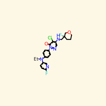 CCN(c1ccc(-n2ncc(NC[C@@]3(F)CCCOC3)c(Cl)c2=O)cc1)c1ccc(F)nc1